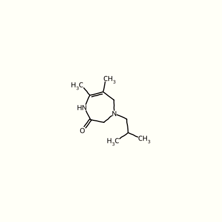 CC1=C(C)NC(=O)CN(CC(C)C)C1